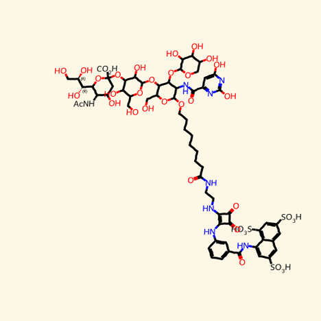 CC(=O)NC1C(O)CC(OC2C(O)C(CO)OC(OC3C(CO)OC(OCCCCCCCCC(=O)NCCNc4c(Nc5cccc(C(=O)Nc6cc(S(=O)(=O)O)cc7cc(S(=O)(=O)O)cc(S(=O)(=O)O)c67)c5)c(=O)c4=O)C(NC(=O)c4cc(O)nc(O)n4)C3OC3OCC(O)C(O)C3O)C2O)(C(=O)O)OC1[C@H](O)[C@H](O)CO